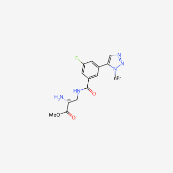 CCCn1nncc1-c1cc(F)cc(C(=O)NC[C@@H](N)C(=O)OC)c1